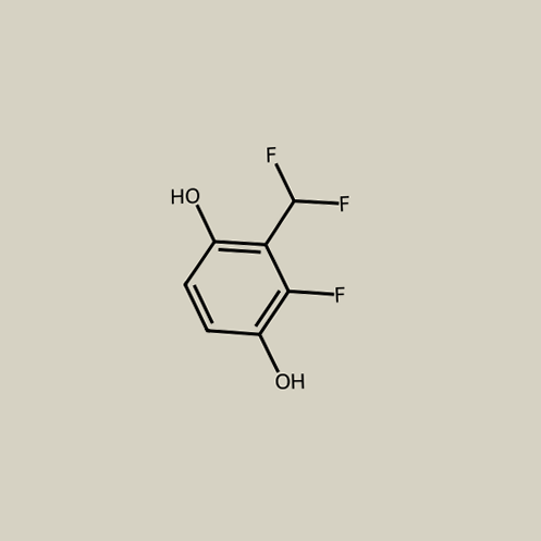 Oc1ccc(O)c(C(F)F)c1F